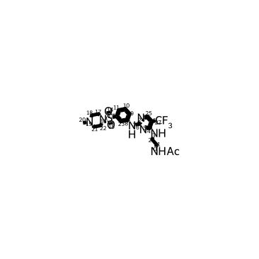 CC(=O)NCCNc1nc(Nc2cccc(S(=O)(=O)N3CCN(C)CC3)c2)ncc1C(F)(F)F